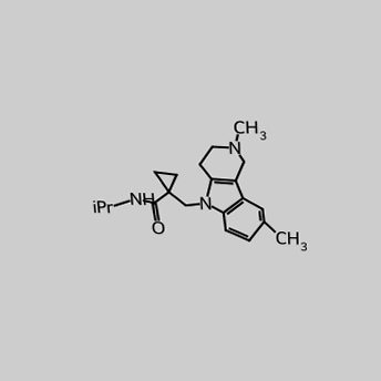 Cc1ccc2c(c1)c1c(n2CC2(C(=O)NC(C)C)CC2)CCN(C)C1